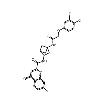 Cc1ccc2c(=O)cc(C(=O)NC3CC4(NC(=O)COc5ccc(Cl)c(F)c5)CC3C4)oc2c1